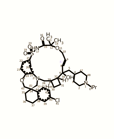 CC(C)N1CCC(CC2(O)/C=C/COC(C)(C)C(=O)NS(=O)(=O)c3ccc4c(c3)N(C[C@@H]3CC[C@H]32)C[C@@]2(CCCc3cc(Cl)ccc32)CO4)CC1